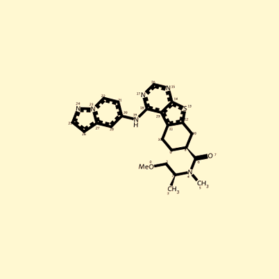 COC[C@H](C)N(C)C(=O)[C@H]1CCc2c(sc3ncnc(Nc4ccn5nccc5c4)c23)C1